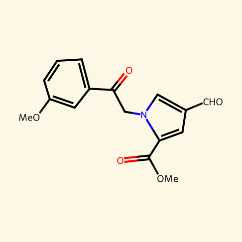 COC(=O)c1cc(C=O)cn1CC(=O)c1cccc(OC)c1